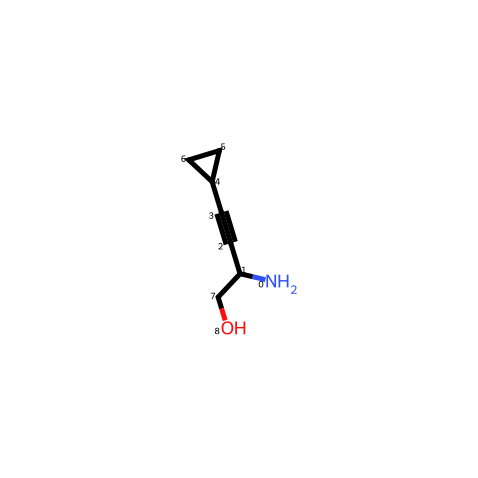 NC(C#CC1CC1)CO